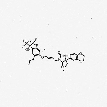 CCCc1cc(C(O)(C(F)(F)F)C(F)(F)F)ccc1OCC=CCN1C(=O)NC(CC)(c2ccc3c(c2)OCCO3)C1=O